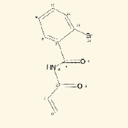 C=CC(=O)NC(=O)c1ccccc1Br